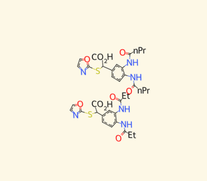 CCC(=O)Nc1ccc(C(Sc2ncco2)C(=O)O)cc1NC(=O)CC.CCCC(=O)Nc1ccc(C(Sc2ncco2)C(=O)O)cc1NC(=O)CCC